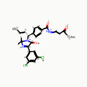 COC(=O)CCNC(=O)c1ccc([C@@H](CCC(C)(C)C)N2C(=O)C(c3cc(Cl)cc(Cl)c3)=NC2(C)C)cc1